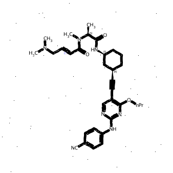 CCCOc1nc(Nc2ccc(C#N)cc2)ncc1C#C[C@@H]1CCC[C@H](NC(=O)[C@H](C)N(C)C(=O)/C=C/CN(C)C)C1